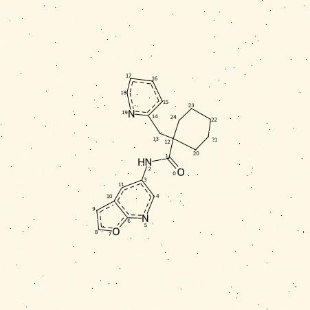 O=C(Nc1cnc2occc2c1)C1(Cc2ccccn2)CCCCC1